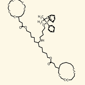 CC(C)(C)[Si](OCCCCNC(CCCCCOC(=O)CCC1CCCCCCCCCCCCCC1)CCCCCOC(=O)CCC1CCCCCCCCCCCCCC1)(c1ccccc1)c1ccccc1